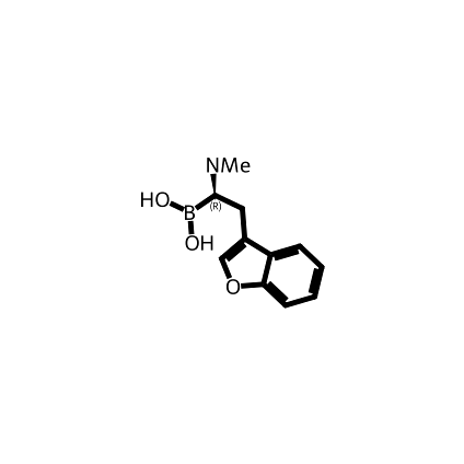 CN[C@@H](Cc1coc2ccccc12)B(O)O